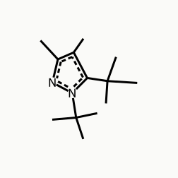 Cc1nn(C(C)(C)C)c(C(C)(C)C)c1C